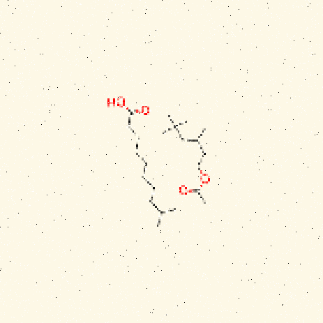 CC(=O)OCCC(C)CC(C)(C)C.CC(C)CCCCCCCC(=O)O